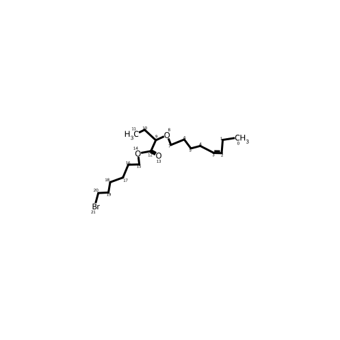 CC/C=C\CCCCOC(CC)C(=O)OCCCCCCBr